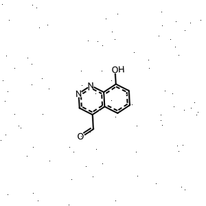 O=Cc1cnnc2c(O)cccc12